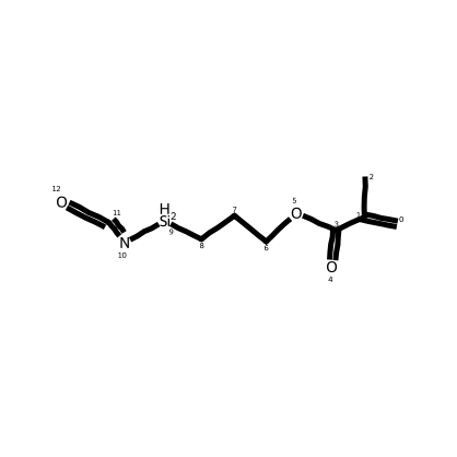 C=C(C)C(=O)OCCC[SiH2]N=C=O